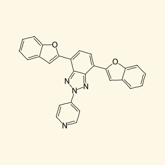 c1ccc2oc(-c3ccc(-c4cc5ccccc5o4)c4nn(-c5ccncc5)nc34)cc2c1